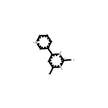 Cc1cc(-c2cccnc2)nc(I)n1